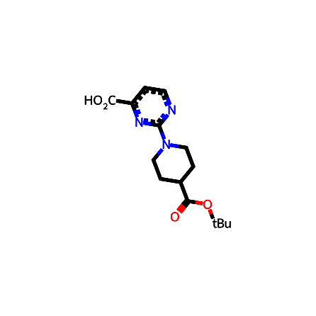 CC(C)(C)OC(=O)C1CCN(c2nccc(C(=O)O)n2)CC1